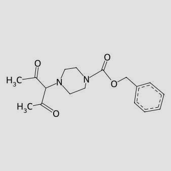 CC(=O)C(C(C)=O)N1CCN(C(=O)OCc2ccccc2)CC1